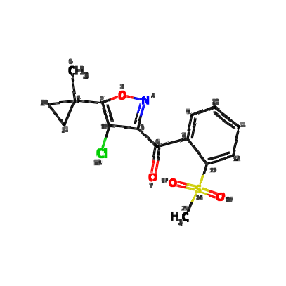 CC1(c2onc(C(=O)c3ccccc3S(C)(=O)=O)c2Cl)CC1